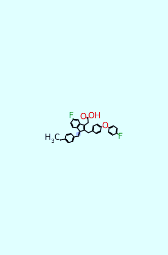 CCc1ccc(/C=C2/C(Cc3ccc(Oc4ccc(F)cc4)cc3)=C(CC(=O)O)c3cc(F)ccc32)cc1